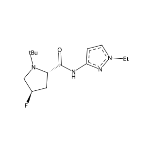 CCn1ccc(NC(=O)[C@@H]2C[C@@H](F)CN2C(C)(C)C)n1